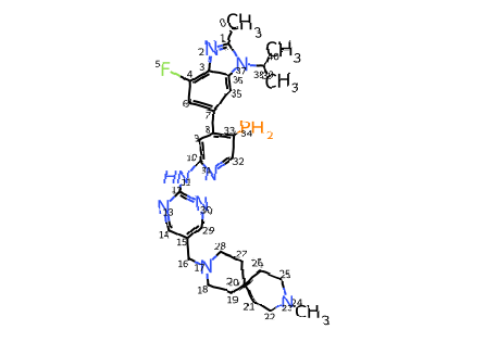 Cc1nc2c(F)cc(-c3cc(Nc4ncc(CN5CCC6(CCN(C)CC6)CC5)cn4)ncc3P)cc2n1C(C)C